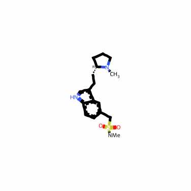 CNS(=O)(=O)Cc1ccc2[nH]cc(CC[C@@H]3CCCN3C)c2c1